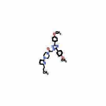 CCCc1cccc(N2CCN(C(=O)Cn3nc(-c4ccc(OC)cc4)nc3-c3ccc(OC)cc3)CC2)n1